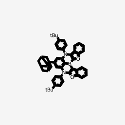 CC(C)(C)c1ccc(N2c3cc(C45CC6CC(CC(C6)C4)C5)cc4c3B(c3oc5ccccc5c3N4c3ccc(C(C)(C)C)cc3)c3c2oc2ccccc32)cc1